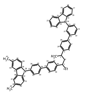 CCC(CC(C)c1ccc(-c2cccc(-n3c4ccccc4c4ccccc43)c2)cc1)c1ccc(-c2ccc(-n3c4ccc(C)cc4c4cc(C)ccc43)cc2)cc1